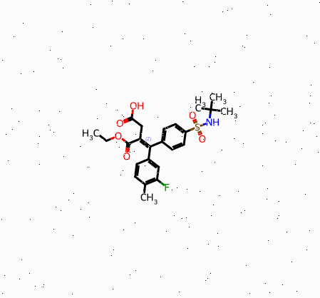 CCOC(=O)/C(CC(=O)O)=C(/c1ccc(S(=O)(=O)NC(C)(C)C)cc1)c1ccc(C)c(F)c1